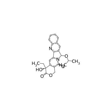 CC[C@@]1(O)C(=O)OCc2c1cc1n(c2=O)C(OC(C)C)c2cc3ccccc3nc2-1